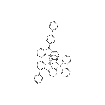 c1ccc(-c2ccc(-n3c4ccccc4c4c(-n5c6cccc(-c7ccccc7)c6c6cccc([Si](c7ccccc7)(c7ccccc7)c7ccccc7)c65)cccc43)cc2)cc1